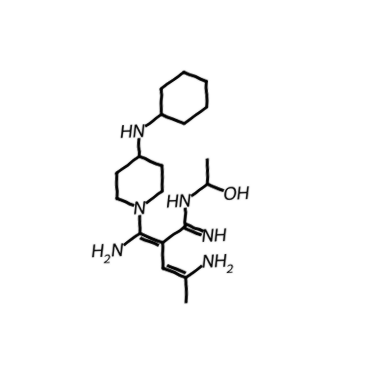 C/C(N)=C/C(C(=N)NC(C)O)=C(\N)N1CCC(NC2CCCCC2)CC1